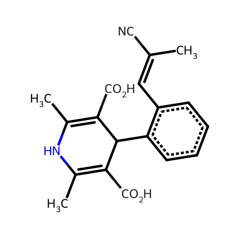 CC(C#N)=Cc1ccccc1C1C(C(=O)O)=C(C)NC(C)=C1C(=O)O